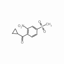 CS(=O)(=O)c1ccc(C(=O)C2CC2)c([N+](=O)[O-])c1